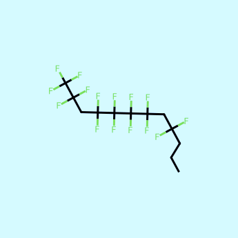 CCCC(F)(F)CC(F)(F)C(F)(F)C(F)(F)C(F)(F)CC(F)(F)C(F)(F)F